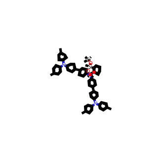 Cc1ccc(N(c2ccc(C)cc2)c2ccc(-c3ccc(N(c4ccc(-c5ccc(N(c6ccc(C)cc6)c6ccc(C)cc6)cc5)cc4)c4ccccc4[Si](C)(O[Si](C)(C)C)O[Si](C)(C)C)cc3)cc2)cc1